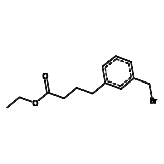 CCOC(=O)CCCc1cccc(CBr)c1